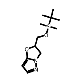 CC(C)(C)[Si](C)(C)OCC1Cn2nccc2O1